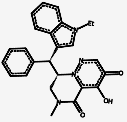 CCn1cc([C@@H](c2ccccc2)[C@H]2CN(C)C(=O)c3c(O)c(=O)cnn32)c2ccccc21